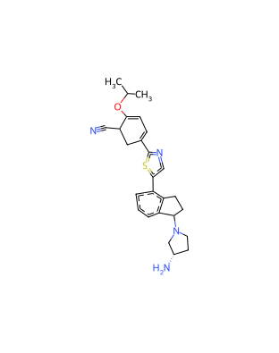 CC(C)OC1=CC=C(c2ncc(-c3cccc4c3CCC4N3CC[C@H](N)C3)s2)CC1C#N